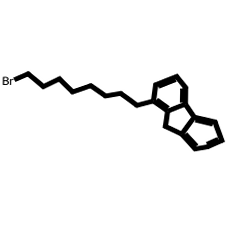 BrCCCCCCCCc1cccc2c1Cc1ccccc1-2